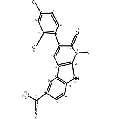 Cn1c(=O)c(-c2ccc(Cl)cc2Cl)cc2c3cc(C(N)=S)ccc3[nH]c21